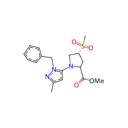 COC(=O)C1C[C@@H](S(C)(=O)=O)CN1c1cc(C)nn1Cc1ccccc1